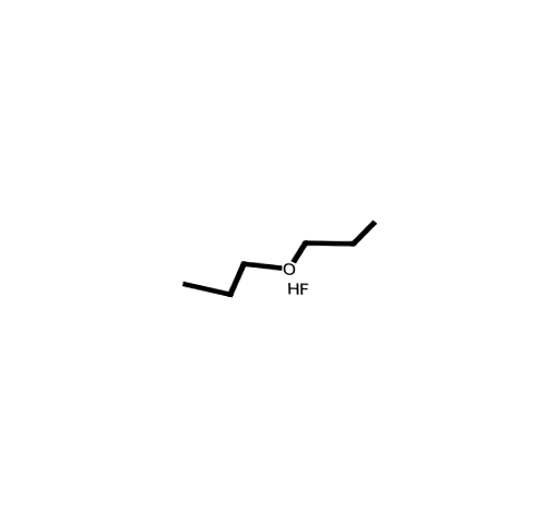 CCCOCCC.F